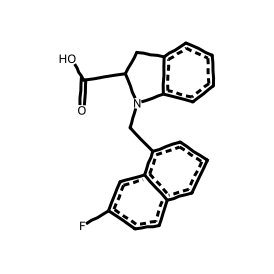 O=C(O)C1Cc2ccccc2N1Cc1cccc2ccc(F)cc12